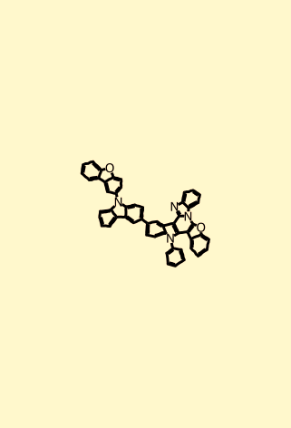 c1ccc(-n2c3ccc(-c4ccc5c(c4)c4ccccc4n5-c4ccc5oc6ccccc6c5c4)cc3c3c2c2c4ccccc4oc2n2c4ccccc4nc32)cc1